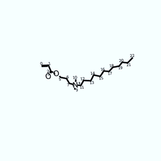 C=CC(=O)OCCC[N+](C)(C)CCCCCCCCCCCC